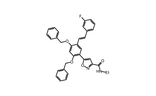 CCNC(=O)c1cc(-c2cc(C=Cc3cccc(F)c3)c(OCc3ccccc3)cc2OCc2ccccc2)on1